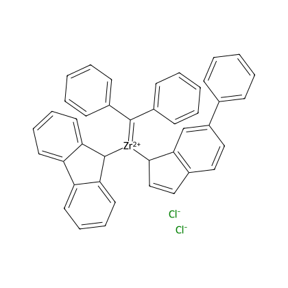 C1=C[CH]([Zr+2](=[C](c2ccccc2)c2ccccc2)[CH]2c3ccccc3-c3ccccc32)c2cc(-c3ccccc3)ccc21.[Cl-].[Cl-]